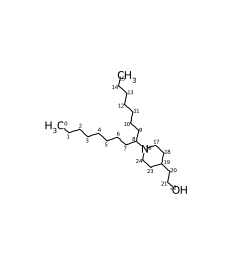 CCCCCCCCC(CCCCCCC)N1CCC(CCO)CC1